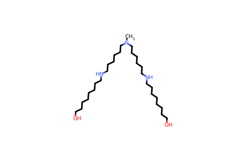 CN(CCCCCCNCCCCCCCCO)CCCCCCNCCCCCCCCO